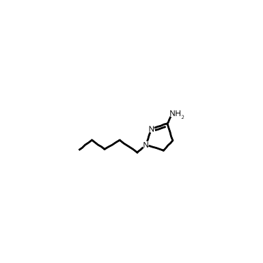 CCCCCN1CCC(N)=N1